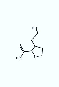 NC(=O)C1OCCC1[CH]CO